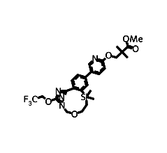 COC(=O)C(C)(C)COc1ccc(-c2ccc3c(c2)[Si](C)(C)CCOCn2nc-3nc2OCC(F)(F)F)cn1